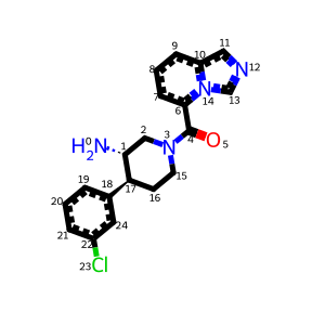 N[C@@H]1CN(C(=O)c2cccc3cncn23)CC[C@H]1c1cccc(Cl)c1